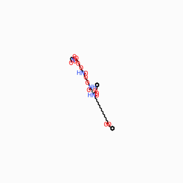 O=C(CC[C@H](NC(=O)CCCCCCCCCCCCCCCCC(=O)OCc1ccccc1)C(=O)OCc1ccccc1)NCCOCCOCC(=O)NCCOCCOCC(=O)ON1C(=O)CCC1=O